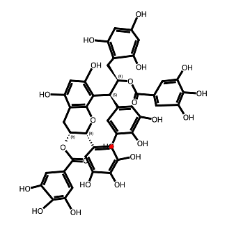 O=C(O[C@H](Cc1c(O)cc(O)cc1O)[C@@H](c1cc(O)c(O)c(O)c1)c1c(O)cc(O)c2c1O[C@H](c1cc(O)c(O)c(O)c1)[C@H](OC(=O)c1cc(O)c(O)c(O)c1)C2)c1cc(O)c(O)c(O)c1